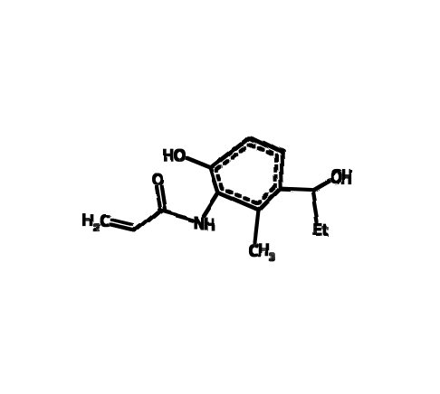 C=CC(=O)Nc1c(O)ccc(C(O)CC)c1C